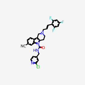 N#Cc1ccc2c3c(n(C(=O)NCc4ccnc(Cl)c4)c2c1)CCN(C/C=C/c1c(F)cc(F)cc1F)C3